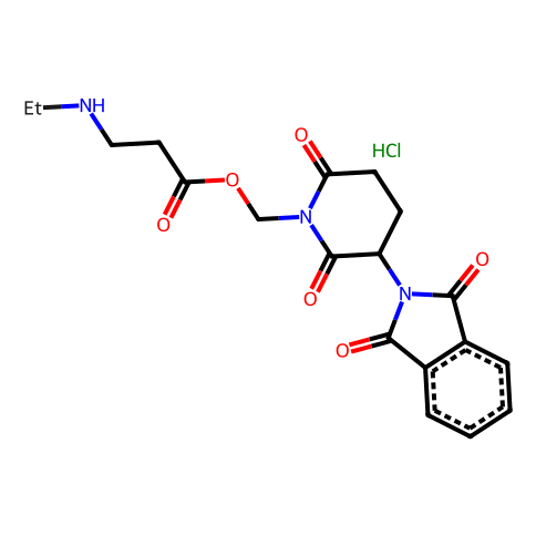 CCNCCC(=O)OCN1C(=O)CCC(N2C(=O)c3ccccc3C2=O)C1=O.Cl